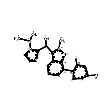 CN(C)n1ccnc1C(O)c1c2cccc(-c3ccc(Cl)cc3Cl)c2nn1C